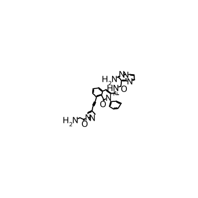 C[C@H](NC(=O)c1c(N)nn2cccnc12)c1cc2cccc(C#Cc3cnn(C(=O)CN)c3)c2c(=O)n1-c1ccccc1